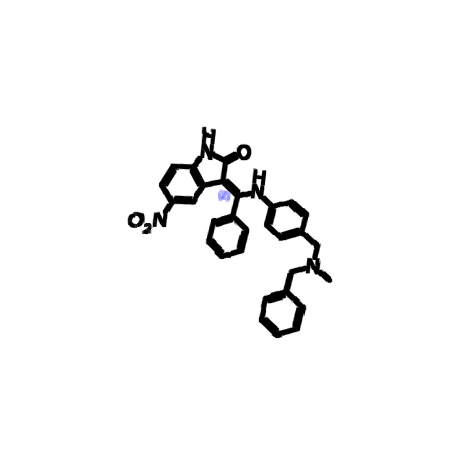 CN(Cc1ccccc1)Cc1ccc(N/C(=C2\C(=O)Nc3ccc([N+](=O)[O-])cc32)c2ccccc2)cc1